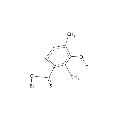 CCOC(=S)c1ccc(C)c(OCC)c1C